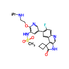 CC(C)NCCOc1ncc(-c2cc3c4c(cnc3cc2F)NC(=O)C42CCC2)cc1NS(C)(=O)=O